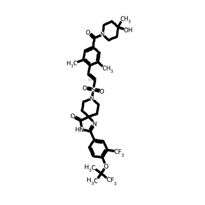 Cc1cc(C(=O)N2CCC(C)(O)CC2)cc(C)c1/C=C/S(=O)(=O)N1CCC2(CC1)N=C(c1ccc(OC(C)(C)C(F)(F)F)c(C(F)(F)F)c1)NC2=O